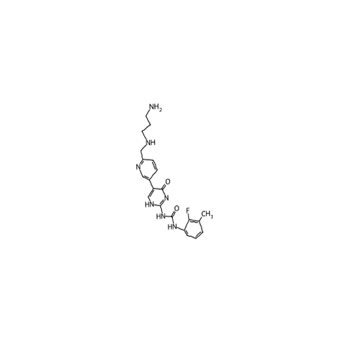 Cc1cccc(NC(=O)Nc2nc(=O)c(-c3ccc(CNCCCN)nc3)c[nH]2)c1F